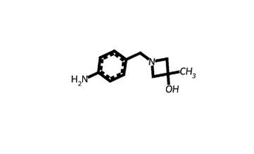 CC1(O)CN(Cc2ccc(N)cc2)C1